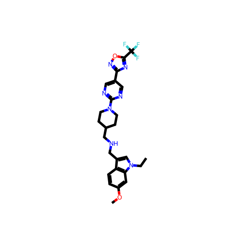 CCn1cc(CNCC2CCN(c3ncc(-c4noc(C(F)(F)F)n4)cn3)CC2)c2ccc(OC)cc21